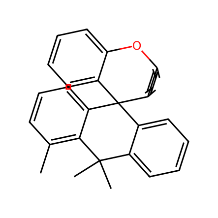 Cc1cccc2c1C(C)(C)c1ccccc1C21c2ccccc2Oc2ccccc21